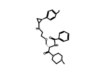 CN1CCN(C(=O)[C@H](COCCNC2C[C@H]2c2ccc(F)cc2)NC(=O)c2ccccc2)CC1